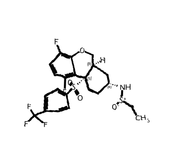 CC[S+]([O-])N[C@@H]1CC[C@@]2(S(=O)(=O)c3ccc(C(F)(F)F)cc3)c3c(F)ccc(F)c3OC[C@H]2C1